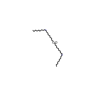 CCCCCCCC/C=C\CCCCCCCCOC(=O)CCCCCCC/C=C\CCCCCCCC